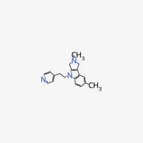 Cc1ccc2c(c1)c1c(n2CCc2ccncc2)CN(C)C1